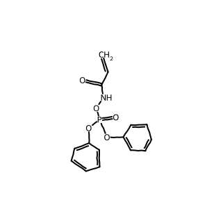 C=CC(=O)NOP(=O)(Oc1ccccc1)Oc1ccccc1